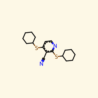 N#Cc1c(SC2CCCCC2)ccnc1SC1CCCCC1